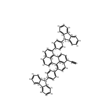 C#Cc1ccc2c3c(-c4ccc(-n5c6ccccc6c6ccccc65)cc4)ccc4cccc(c5c(-c6ccc(-n7c8ccccc8c8ccccc87)cc6)ccc1c25)c43